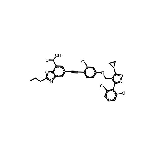 CCCc1nc2cc(C#Cc3ccc(OCc4c(-c5c(Cl)cccc5Cl)noc4C4CC4)cc3Cl)cc(C(=O)O)c2o1